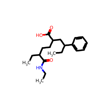 CCNC(=O)C(CC)CCC(CC(CC)c1ccccc1)C(=O)O